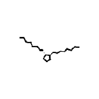 CCCCCCC=C[C@H]1CCC[C@@H]1CCCCCCCC